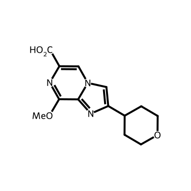 COc1nc(C(=O)O)cn2cc(C3CCOCC3)nc12